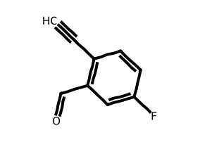 C#Cc1ccc(F)cc1C=O